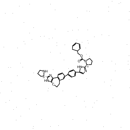 O=C(OCC1C=CC=CC1)N1CCC[C@H]1c1ncc(-c2ccc(-c3ccc4c(c3)CCCc3[nH]c([C@@H]5CCCN5)nc3-4)cc2)[nH]1